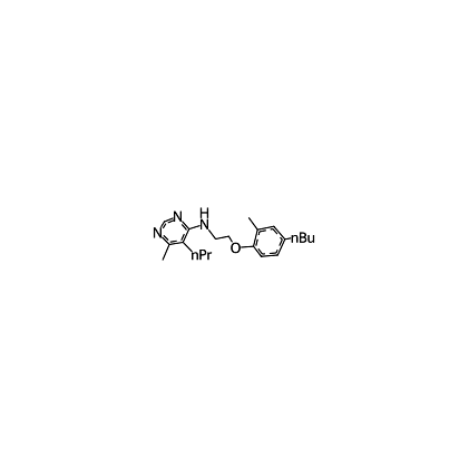 CCCCc1ccc(OCCNc2ncnc(C)c2CCC)c(C)c1